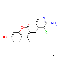 Cc1c(Cc2ccnc(N)c2Cl)c(=O)oc2cc(O)ccc12